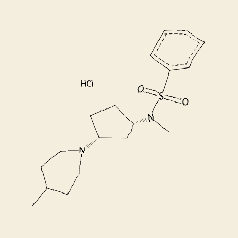 CC1CCN([C@@H]2CC[C@H](N(C)S(=O)(=O)c3ccccc3)C2)CC1.Cl